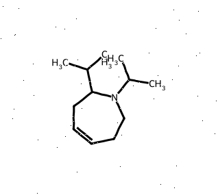 CC(C)C1CC=CCCN1C(C)C